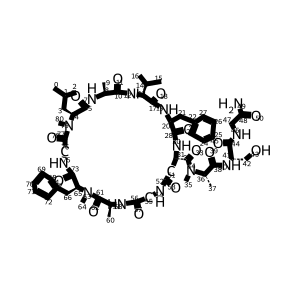 CC(C)C[C@H]1C(=O)N[C@@H](C)C(=O)N[C@@H](C(C)C)C(=O)NC(Cc2ccccc2)C(=O)N[C@H](C(=O)N(C)[C@@H](C)C(=O)N[C@@H](CO)C(=O)NCC(N)=O)CC(=O)NCC(=O)N[C@@H](C)C(=O)N(C)[C@@H](Cc2ccccc2)C(=O)NCC(=O)N1C